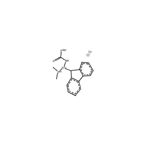 CCCCCCCCCC(=O)[NH][Zr+2]([CH]1c2ccccc2-c2ccccc21)[SiH](C)C.[Cl-].[Cl-]